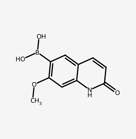 COc1cc2[nH]c(=O)ccc2cc1B(O)O